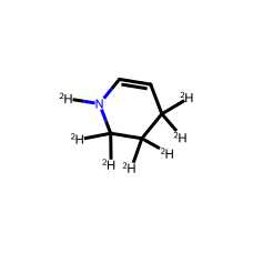 [2H]N1C=CC([2H])([2H])C([2H])([2H])C1([2H])[2H]